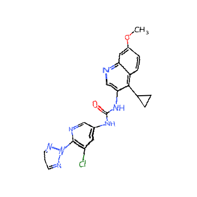 COc1ccc2c(C3CC3)c(NC(=O)Nc3cnc(-n4nccn4)c(Cl)c3)cnc2c1